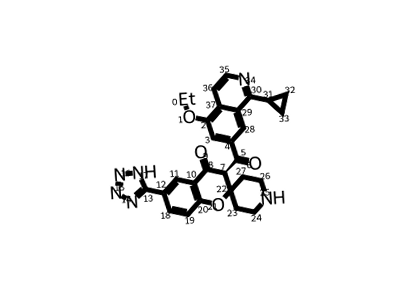 CCOc1cc(C(=O)[C@@H]2C(=O)c3cc(-c4nnn[nH]4)ccc3OC23CCNCC3)cc2c(C3CC3)nccc12